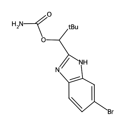 CC(C)(C)C(OC(N)=O)c1nc2ccc(Br)cc2[nH]1